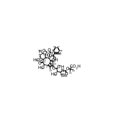 COC(=O)O[C@@]12CO[C@@H]1CC(O)[C@@]1(C)C(=O)[C@H](O)C3=C(C)[C@](C)(OC(=O)[C@H](O)[C@@H](NC(=O)OC(C)(C)C(=O)O)C(C)(C)C)C[C@@](O)([C@@H](OC(=O)c4ccccc4)C12)C3(C)C